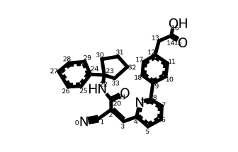 N#CC(=Cc1cccc(-c2ccc(CC(=O)O)cc2)n1)C(=O)NC1(c2ccccc2)CCCC1